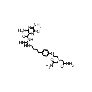 N=C(NCCCCc1ccc(OCCN(CC(N)=O)CC(N)=O)cc1)NC(=O)c1nc(Cl)c(N)nc1N